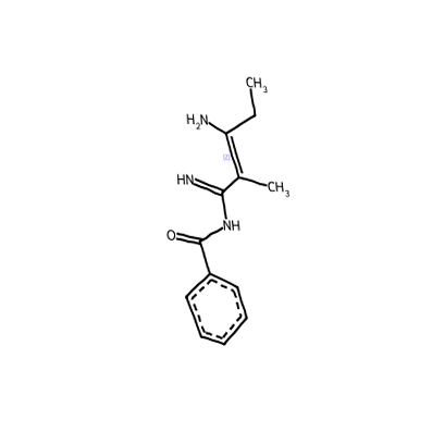 CC/C(N)=C(\C)C(=N)NC(=O)c1ccccc1